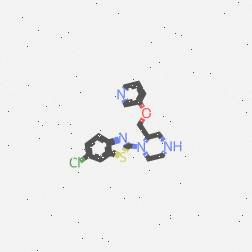 Clc1ccc2nc(N3CCNCC3COc3cccnc3)sc2c1